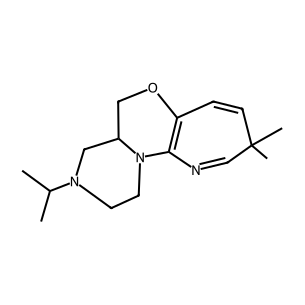 CC(C)N1CCN2C3=C(C=CC(C)(C)C=N3)OCC2C1